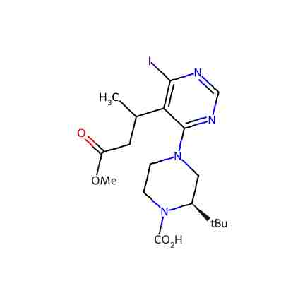 COC(=O)CC(C)c1c(I)ncnc1N1CCN(C(=O)O)[C@H](C(C)(C)C)C1